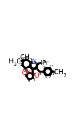 Cc1ccc(C2OC3(CCCC3)c3c4c(nc(C(C)C)c32)CC(C)(C)CC4O)cc1